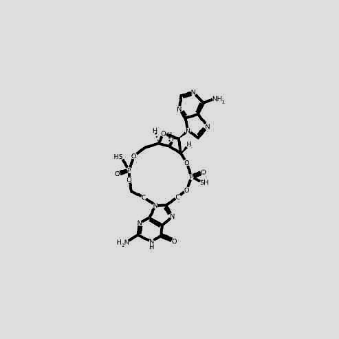 Nc1nc2c(nc3n2CCOP(=O)(S)OC[C@H]2O[C@@H](n4cnc5c(N)ncnc54)[C@H](OP(=O)(S)OC3)[C@@H]2F)c(=O)[nH]1